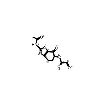 CC(=O)Nc1nc2c(s1)C(=O)C(OC(=O)C=O)CC2